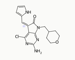 Nc1nc(Cl)c2c(n1)N(CC1CCOCC1)C(=O)/C2=C\c1ccc[nH]1